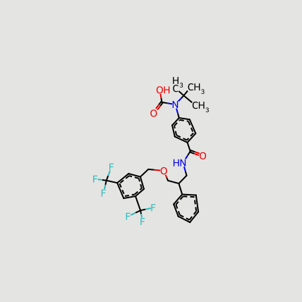 CC(C)(C)N(C(=O)O)c1ccc(C(=O)NCC(COCc2cc(C(F)(F)F)cc(C(F)(F)F)c2)c2ccccc2)cc1